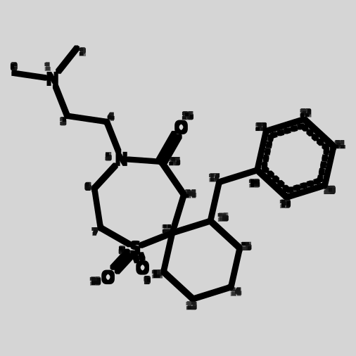 CN(C)CCN1CCS(=O)(=O)C2(CCCCC2Cc2ccccc2)CC1=O